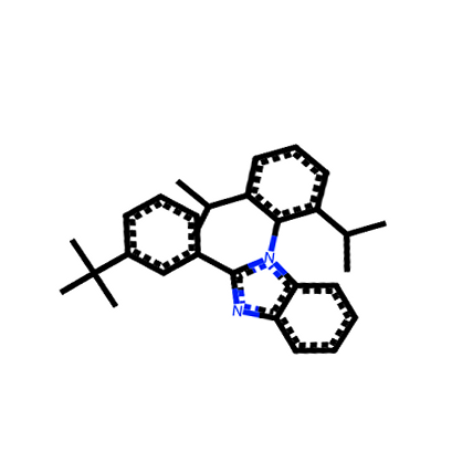 CC(C)c1cccc(C(C)C)c1-n1c(-c2cccc(C(C)(C)C)c2)nc2ccccc21